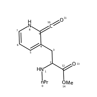 CCCNC(CC1=CC=CNC1=C=O)C(=O)OC